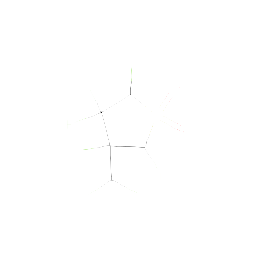 O=S1(=O)C(F)C(F)(F)C(F)(C(F)F)C1F